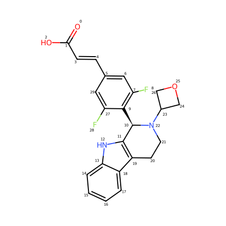 O=C(O)/C=C/c1cc(F)c([C@@H]2c3[nH]c4ccccc4c3CCN2C2COC2)c(F)c1